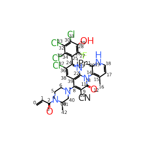 C=CC(=O)N1CCN(c2c(C#N)c(=O)n(C3=C(C)C=CNC3C(C)C)c3nc(-c4c(F)c(O)c(Cl)c(Cl)c4Cl)c(Cl)cc23)C[C@H]1C